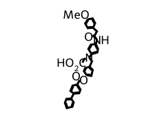 COc1ccc(CC(=O)Nc2ccc(N(CC(=O)O)Cc3ccc(OC(=O)c4ccc(-c5ccccc5)cc4)cc3)cc2)cc1